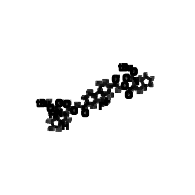 CC(C)(C)OC(=O)N1C2CCCC2C[C@H]1C(=O)OCC(=O)c1ccc2c(c1)C(F)(F)c1cc(C(=O)COC(=O)[C@@H]3C[C@@H]4CCC[C@@H]4N3C(=O)OC(C)(C)C)ccc1-2